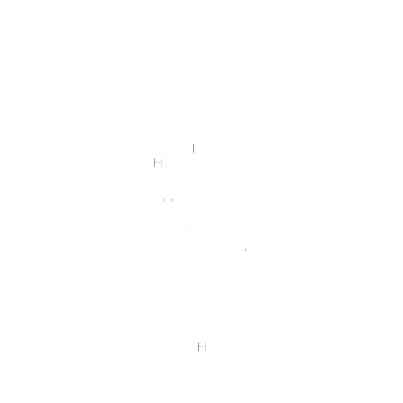 Cc1cc(C)c(C(=O)c2ccccc2P(O)c2ccccc2)c(C)c1